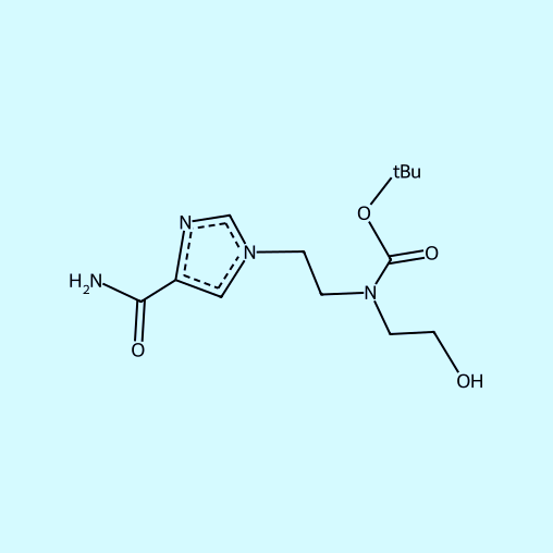 CC(C)(C)OC(=O)N(CCO)CCn1cnc(C(N)=O)c1